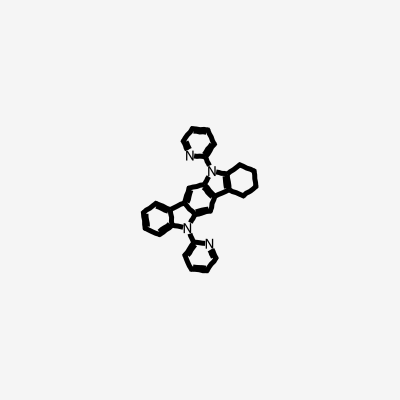 c1ccc(-n2c3c(c4cc5c(cc42)c2ccccc2n5-c2ccccn2)CCCC3)nc1